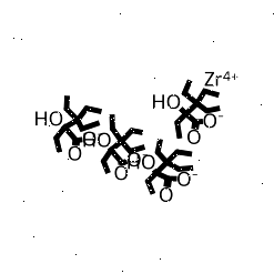 CCC(CC)(CC)C(O)(CC)C(=O)[O-].CCC(CC)(CC)C(O)(CC)C(=O)[O-].CCC(CC)(CC)C(O)(CC)C(=O)[O-].CCC(CC)(CC)C(O)(CC)C(=O)[O-].[Zr+4]